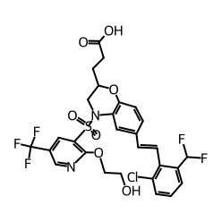 O=C(O)CCC1CN(S(=O)(=O)c2cc(C(F)(F)F)cnc2OCCO)c2cc(C=Cc3c(Cl)cccc3C(F)F)ccc2O1